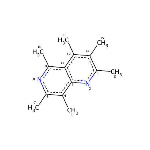 Cc1nc2c(C)c(C)nc(C)c2c(C)c1C